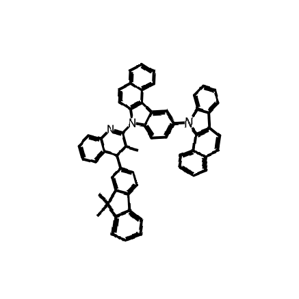 CC1C(n2c3ccc(-n4c5ccccc5c5ccc6ccccc6c54)cc3c3c4ccccc4ccc32)=Nc2ccccc2C1c1ccc2c(c1)C(C)(C)c1ccccc1-2